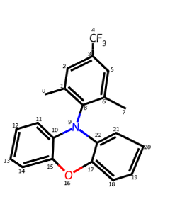 Cc1cc(C(F)(F)F)cc(C)c1N1c2ccccc2Oc2ccccc21